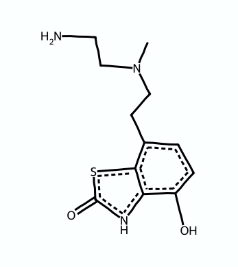 CN(CCN)CCc1ccc(O)c2[nH]c(=O)sc12